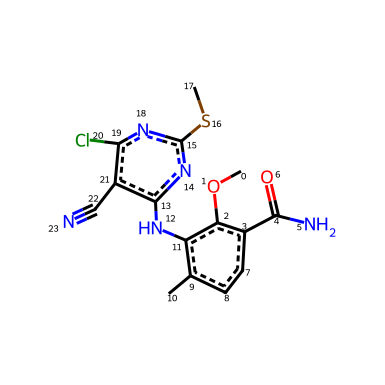 COc1c(C(N)=O)ccc(C)c1Nc1nc(SC)nc(Cl)c1C#N